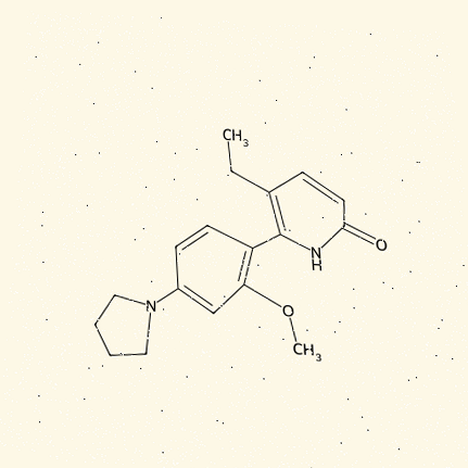 CCc1ccc(=O)[nH]c1-c1ccc(N2CCCC2)cc1OC